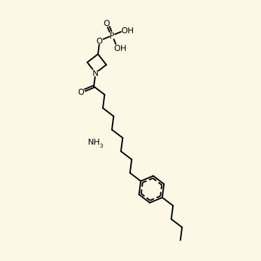 CCCCc1ccc(CCCCCCCCC(=O)N2CC(OP(=O)(O)O)C2)cc1.N